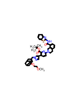 COCCOC12CC3CC(CC(Cn4cc(-c5ccc(N6CCc7cccc(C(=O)Nc8nc9ccccc9s8)c7C6)nc5C(=O)OC(C)(C)C)cn4)(C3)C1)C2